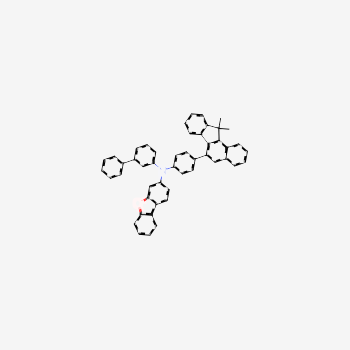 CC1(C)c2ccccc2-c2c(-c3ccc(N(c4cccc(-c5ccccc5)c4)c4ccc5c(c4)oc4ccccc45)cc3)cc3ccccc3c21